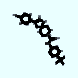 CC(C)(C)c1ccc(NC(=O)N2CCC3(CC2)CC(c2ccc(F)cc2)=NO3)cc1